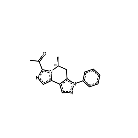 CC(=O)c1ncc2n1[C@@H](C)Cc1c-2cnn1-c1ccccc1